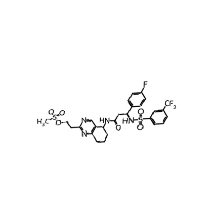 CS(=O)(=O)OCCc1ncc2c(n1)CCCC2NC(=O)CC(NS(=O)(=O)c1cccc(C(F)(F)F)c1)c1ccc(F)cc1